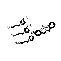 CCCC[n+]1ccn(C)c1.CCCC[n+]1ccn(C)c1.CCCC[n+]1ccn(C)c1.[O-]P([O-])([S-])=S(Cc1ccccc1)Cc1ccccc1